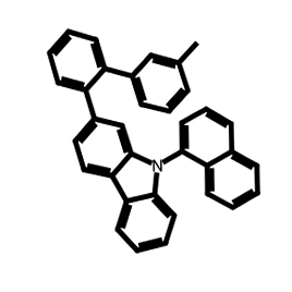 Cc1cccc(-c2ccccc2-c2ccc3c4ccccc4n(-c4cccc5ccccc45)c3c2)c1